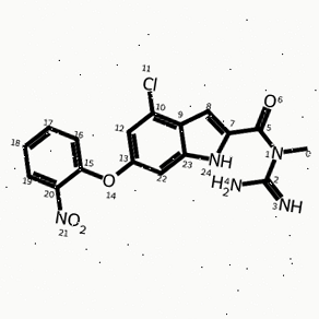 CN(C(=N)N)C(=O)c1cc2c(Cl)cc(Oc3ccccc3[N+](=O)[O-])cc2[nH]1